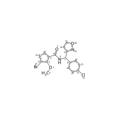 COc1c(C(=O)NC(c2ccc(Cl)cc2)c2ccon2)csc1Br